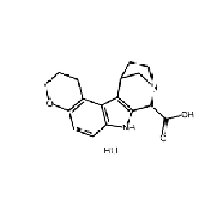 Cl.O=C(O)C1c2[nH]c3ccc4c(c3c2C2CCN1C2)CCCO4